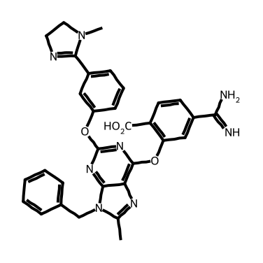 Cc1nc2c(Oc3cc(C(=N)N)ccc3C(=O)O)nc(Oc3cccc(C4=NCCN4C)c3)nc2n1Cc1ccccc1